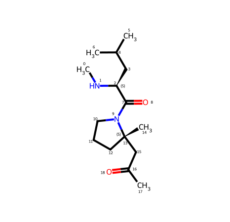 CN[C@@H](CC(C)C)C(=O)N1CCC[C@@]1(C)CC(C)=O